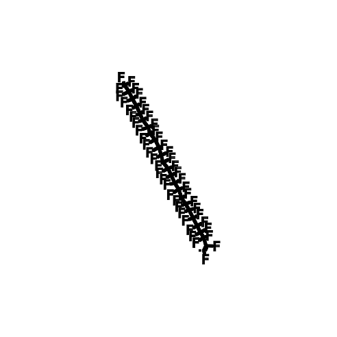 F/[C]=C(\F)C(F)(F)C(F)(F)C(F)(F)C(F)(F)C(F)(F)C(F)(F)C(F)(F)C(F)(F)C(F)(F)C(F)(F)C(F)(F)C(F)(F)C(F)(F)C(F)(F)C(F)(F)C(F)(F)C(F)(F)C(F)(F)C(F)(F)C(F)(F)C(F)(F)C(F)(F)C(F)(F)F